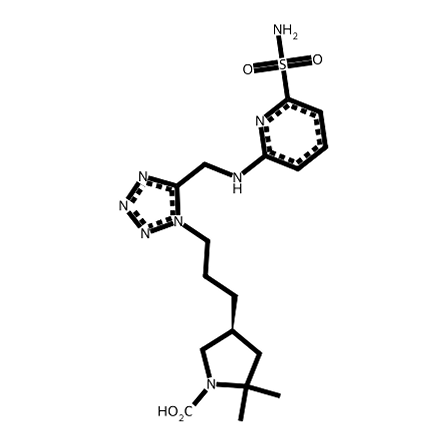 CC1(C)C[C@H](CCCn2nnnc2CNc2cccc(S(N)(=O)=O)n2)CN1C(=O)O